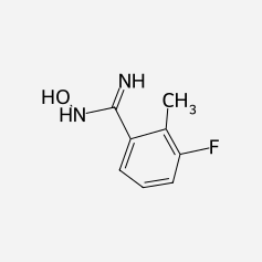 Cc1c(F)cccc1C(=N)NO